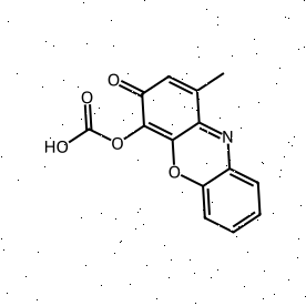 Cc1cc(=O)c(OC(=O)O)c2oc3ccccc3nc1-2